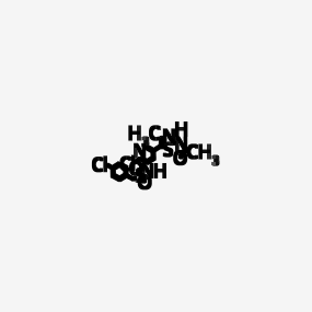 CC(=O)Nc1nc(C)c(-c2cnc(Cl)c(NS(=O)(=O)Cc3ccc(Cl)cc3)c2)s1